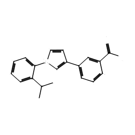 CC(C)c1ccccc1-n1ccc(-c2cccc(C(=O)O)c2)c1